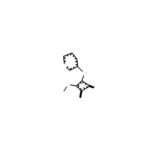 CCCNc1c(Nc2cccnc2)c(=O)c1=O